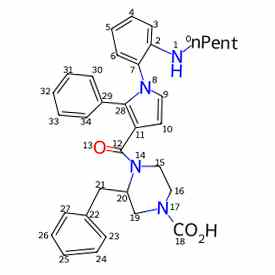 CCCCCNc1ccccc1-n1ccc(C(=O)N2CCN(C(=O)O)CC2Cc2ccccc2)c1-c1ccccc1